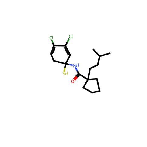 CC(C)CCC1(C(=O)NC2(S)C=C(Cl)C(Cl)=CC2)CCCC1